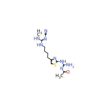 CNC(=NC#N)NCCCCc1csc(NC(N)=NC(C)=O)n1